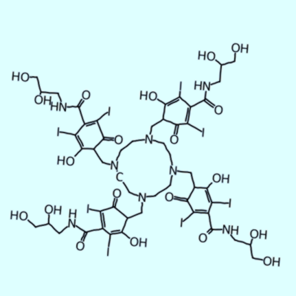 O=C(NCC(O)CO)C1=C(I)C(=O)C(CN2CCN(CC3C(=O)C(I)=C(C(=O)NCC(O)CO)C(I)=C3O)CCN(CC3C(=O)C(I)=C(C(=O)NCC(O)CO)C(I)=C3O)CCN(CC3C(=O)C(I)=C(C(=O)NCC(O)CO)C(I)=C3O)CC2)C(O)=C1I